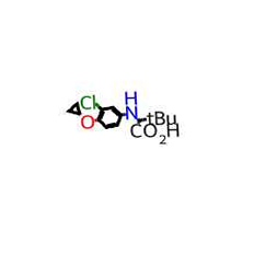 CC(C)(C)C(Nc1ccc(OC2CC2)c(Cl)c1)C(=O)O